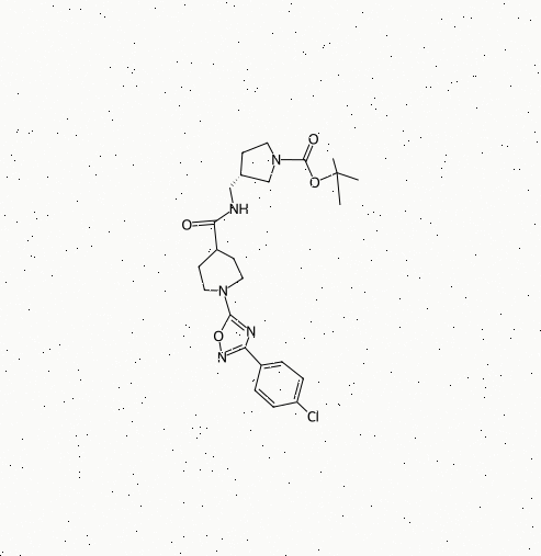 CC(C)(C)OC(=O)N1CC[C@@H](CNC(=O)C2CCN(c3nc(-c4ccc(Cl)cc4)no3)CC2)C1